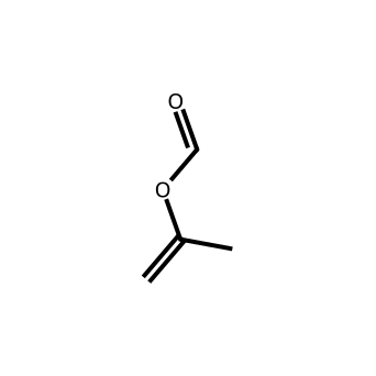 C=C(C)OC=O